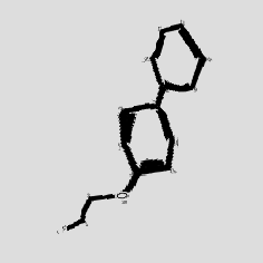 FCCOc1ccc(-c2ccccc2)cc1